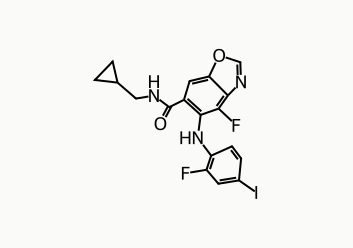 O=C(NCC1CC1)c1cc2ocnc2c(F)c1Nc1ccc(I)cc1F